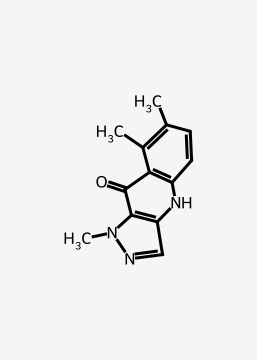 Cc1ccc2[nH]c3cnn(C)c3c(=O)c2c1C